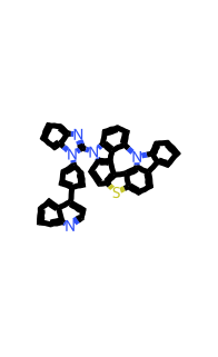 c1ccc2c(-c3ccc(-n4c(-n5c6ccc7sc8ccc9c%10ccccc%10n%10c%11cccc5c%11c6c7c8c9%10)nc5ccccc54)cc3)ccnc2c1